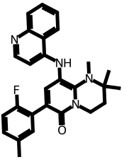 Cc1ccc(F)c(-c2cc(Nc3ccnc4ccccc34)c3n(c2=O)CCC(C)(C)N3C)c1